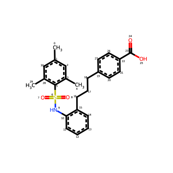 Cc1cc(C)c(S(=O)(=O)Nc2ccccc2CCCc2ccc(C(=O)O)cc2)c(C)c1